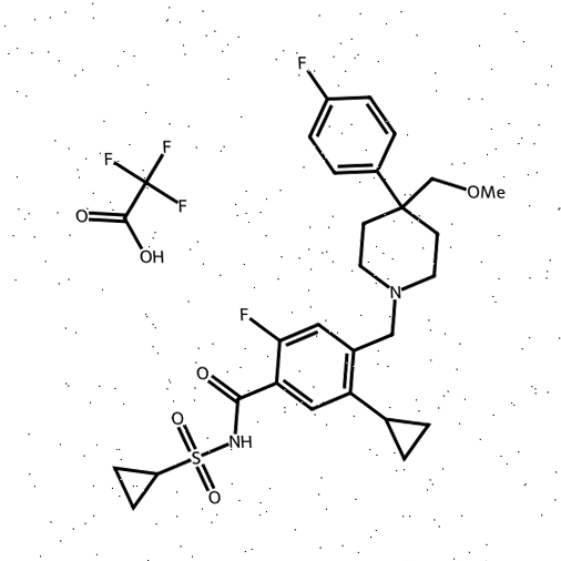 COCC1(c2ccc(F)cc2)CCN(Cc2cc(F)c(C(=O)NS(=O)(=O)C3CC3)cc2C2CC2)CC1.O=C(O)C(F)(F)F